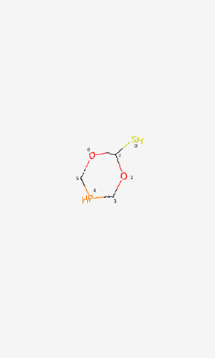 SC1OCPCO1